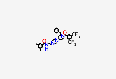 Cc1cc(C)cc(C(=O)NCCN2CCN(C3CCN(C(=O)c4cc(C(F)(F)F)cc(C(F)(F)F)c4)C(Cc4ccccc4)C3)CC2)c1